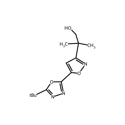 CC(C)(C)c1nnc(-c2cc(C(C)(C)CO)no2)o1